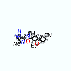 CCOc1cc(C(=O)N(C)Cc2cnc(C#N)c3cn[nH]c23)ccc1-c1cccc(C#N)c1